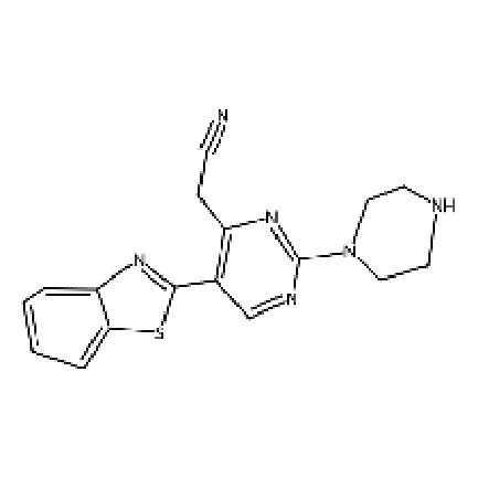 N#CCc1nc(N2CCNCC2)ncc1-c1nc2ccccc2s1